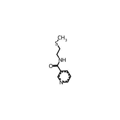 CSCCNC(=O)c1cccnc1